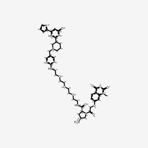 Cn1c(=O)oc(=O)c2ccc(OCC(=O)N3C[C@@H](N)C[C@H]3C(=O)NCCOCCOCCOCCNc3ncc(CN4CCCC(c5nc(=O)cc(-c6cccs6)[nH]5)C4)cn3)cc21